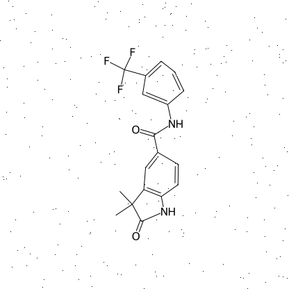 CC1(C)C(=O)Nc2ccc(C(=O)Nc3cccc(C(F)(F)F)c3)cc21